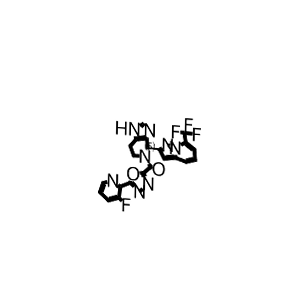 O=C(c1nnc(-c2ncccc2F)o1)N1CCc2[nH]cnc2[C@H]1c1cc2cccc(C(F)(F)F)n2n1